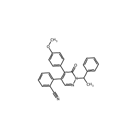 COc1ccc(-c2c(-c3ccccc3C#N)cnn(C(C)c3ccccc3)c2=O)cc1